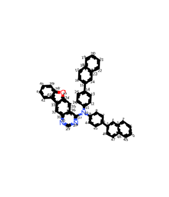 c1ccc2cc(-c3ccc(N(c4ccc(-c5ccc6ccccc6c5)cc4)c4ncnc5cc6c(cc45)oc4ccccc46)cc3)ccc2c1